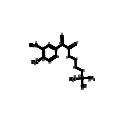 COc1cc(C(=O)C(=O)SCCC[Si](C)(C)O)ccc1C